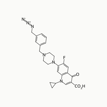 [N-]=[N+]=NCc1cccc(CN2CCN(c3cc4c(cc3F)c(=O)c(C(=O)O)cn4C3CC3)CC2)c1